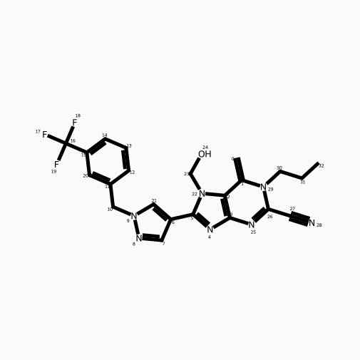 C=C1c2c(nc(-c3cnn(Cc4cccc(C(F)(F)F)c4)c3)n2CO)N=C(C#N)N1CCC